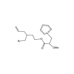 C=CCC(CCOC(=O)C(Cc1ccccc1)OC)CC(C)=O